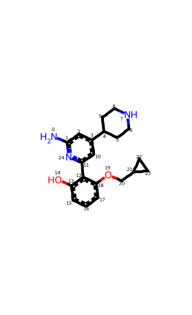 Nc1cc(C2CCNCC2)cc(-c2c(O)cccc2OCC2CC2)n1